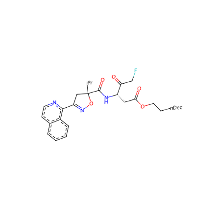 CCCCCCCCCCCCOC(=O)C[C@H](NC(=O)C1(C(C)C)CC(c2nccc3ccccc23)=NO1)C(=O)CF